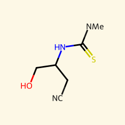 CNC(=S)NC(CO)CC#N